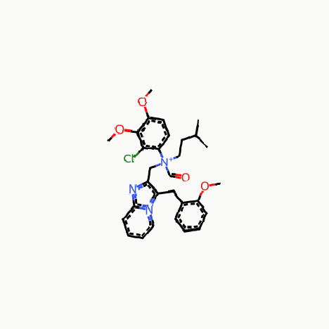 COc1ccccc1Cc1c(C[N+](C=O)(CCC(C)C)c2ccc(OC)c(OC)c2Cl)nc2ccccn12